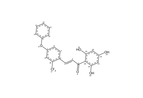 O=C(/C=C/c1ccc(Oc2ccccc2)cc1C(F)(F)F)c1c(O)cc(O)cc1O